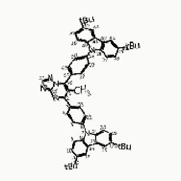 Cc1c(-c2ccc(-n3c4ccc(C(C)(C)C)cc4c4cc(C(C)(C)C)ccc43)cc2)nc2ncnn2c1-c1ccc(-n2c3ccc(C(C)(C)C)cc3c3cc(C(C)(C)C)ccc32)cc1